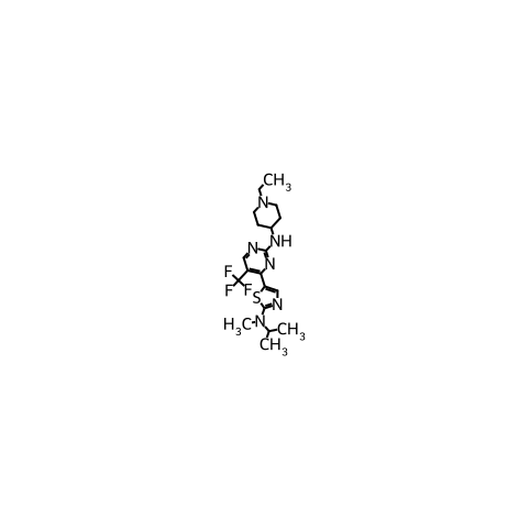 CCN1CCC(Nc2ncc(C(F)(F)F)c(-c3cnc(N(C)C(C)C)s3)n2)CC1